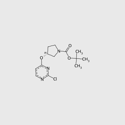 CC(C)(C)OC(=O)N1CC[C@@H](Oc2ccnc(Cl)n2)C1